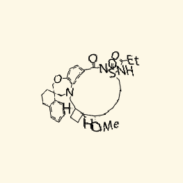 CCC(=O)NS1(=O)=NC(=O)c2ccc3c(c2)N(C[C@@H]2CC[C@H]2[C@@H](OC)CCCCC1)C[C@@]1(CCCc2ccccc21)CO3